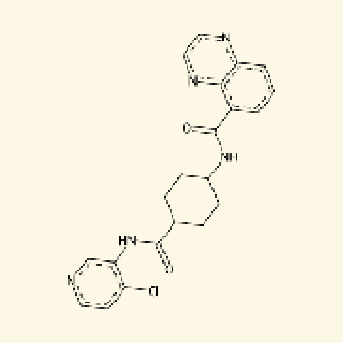 O=C(NC1CCC(C(=O)Nc2cnccc2Cl)CC1)c1cccc2nccnc12